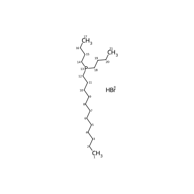 Br.CCCCCCCCCCCCP(CCCC)CCCC